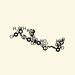 CC1(C)CCC(CN2CCN(c3ccc(C(=O)NS(=O)(=O)c4ccc(NCC5CCCN(CCCC#Cc6cccc7c6C(=O)N(C6CCC(=O)NC6=O)C7=O)C5)c([N+](=O)[O-])c4)c(Oc4cnc5[nH]ccc5c4)c3)CC2)=C(c2ccc(Cl)cc2)C1